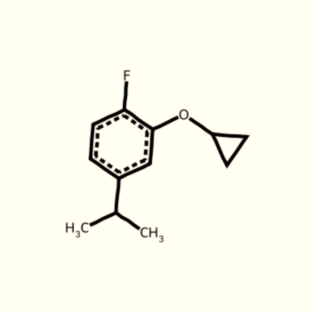 CC(C)c1ccc(F)c(OC2CC2)c1